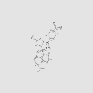 CN(C)c1cccc2c(S(=O)(=O)N3C[C@@H](S)C[C@H]3C(=O)N3CCC(C(=O)O)CC3)cccc12